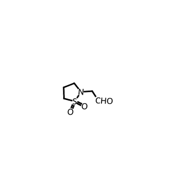 O=CCN1CCCS1(=O)=O